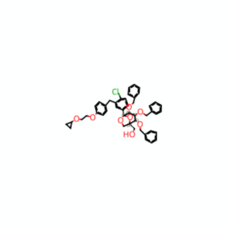 OC[C@@]12CO[C@@](c3ccc(Cl)c(Cc4ccc(OCCOC5CC5)cc4)c3)(O1)[C@H](OCc1ccccc1)[C@@H](OCc1ccccc1)[C@@H]2OCc1ccccc1